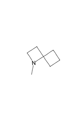 CN1CCC12CCC2